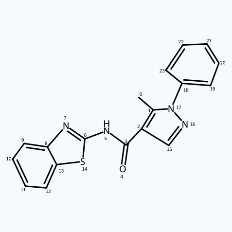 Cc1c(C(=O)Nc2nc3ccccc3s2)cnn1-c1ccccc1